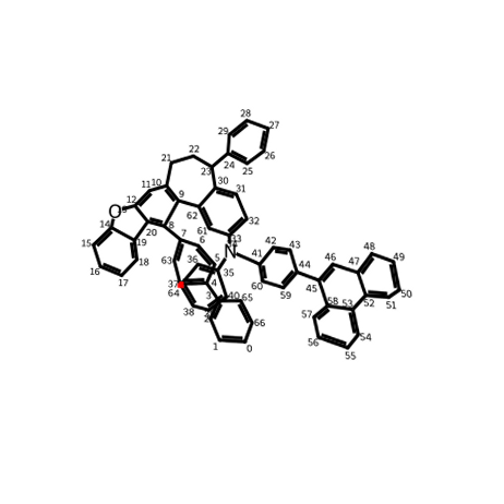 c1ccc(-c2ccc(-c3c4c(cc5oc6ccccc6c35)CCC(c3ccccc3)c3ccc(N(c5ccccc5)c5ccc(-c6cc7ccccc7c7ccccc67)cc5)cc3-4)cc2)cc1